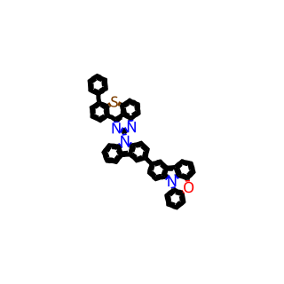 c1ccc(-c2cccc3c2Sc2cccc4nc(-n5c6ccccc6c6cc(-c7ccc8c(c7)c7cccc9c7n8-c7ccccc7O9)ccc65)nc-3c24)cc1